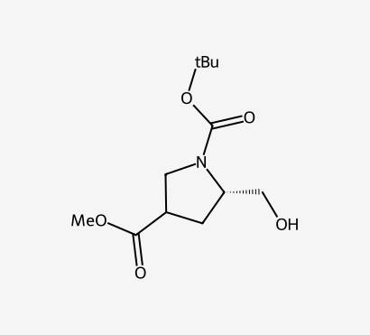 COC(=O)C1C[C@@H](CO)N(C(=O)OC(C)(C)C)C1